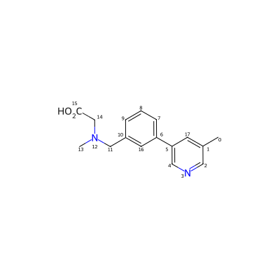 Cc1cncc(-c2cccc(CN(C)CC(=O)O)c2)c1